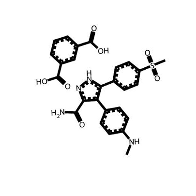 CNc1ccc(-c2c(C(N)=O)n[nH]c2-c2ccc(S(C)(=O)=O)cc2)cc1.O=C(O)c1cccc(C(=O)O)c1